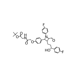 CC(C)(C)OC(=O)CNC(=O)COc1ccc(C2C(CCC(O)c3ccc(F)cc3)C(C=O)N2c2ccc(F)cc2)cc1